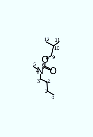 CCCCN(C)C(=O)OCC(C)C